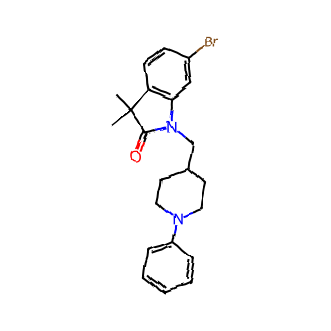 CC1(C)C(=O)N(CC2CCN(c3ccccc3)CC2)c2cc(Br)ccc21